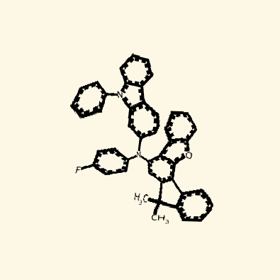 CC1(C)c2ccccc2-c2c1cc(N(c1ccc(F)cc1)c1ccc3c4ccccc4n(-c4ccccc4)c3c1)c1c2oc2ccccc21